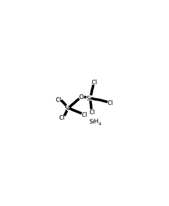 Cl[Si](Cl)(Cl)O[Si](Cl)(Cl)Cl.[SiH4]